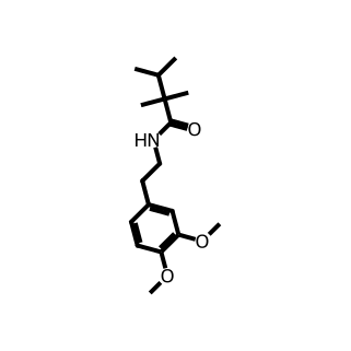 COc1ccc(CCNC(=O)C(C)(C)C(C)C)cc1OC